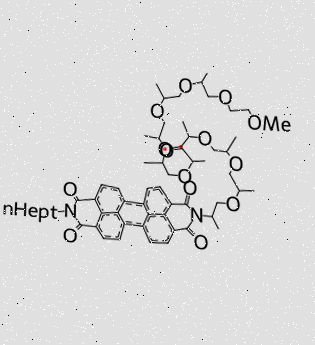 CCCCCCCN1C(=O)c2ccc3c4ccc5c6c(ccc(c7ccc(c2c37)C1=O)c64)C(=O)N(C(C)COC(C)COC(C)COC(C)COC(C)COC(C)COC(C)COC(C)COC(C)COCCOC)C5=O